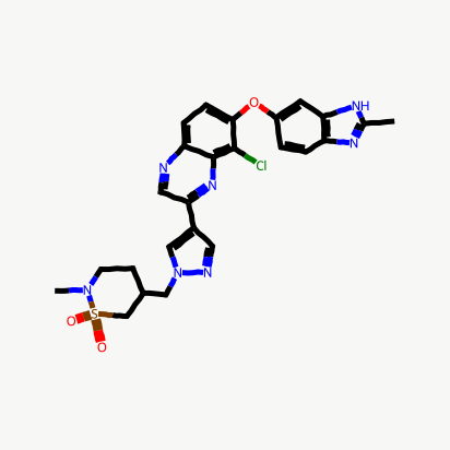 Cc1nc2ccc(Oc3ccc4ncc(-c5cnn(CC6CCN(C)S(=O)(=O)C6)c5)nc4c3Cl)cc2[nH]1